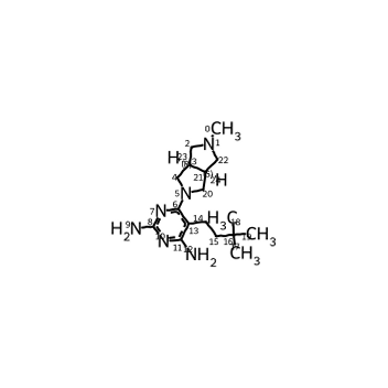 CN1C[C@@H]2CN(c3nc(N)nc(N)c3CCC(C)(C)C)C[C@@H]2C1